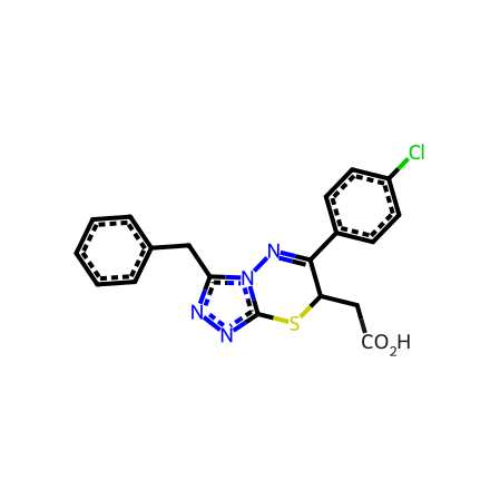 O=C(O)CC1Sc2nnc(Cc3ccccc3)n2N=C1c1ccc(Cl)cc1